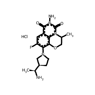 CC1COc2c(N3CC[C@@H]([C@H](C)N)C3)c(F)cc3c(=O)n(N)c(=O)n1c23.Cl